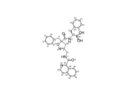 O=C(NCC1=NOC(Cc2ccccc2)(C(=O)N[C@@H](Cc2ccccc2)B(O)O)C1)c1nccc2ccccc12